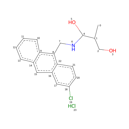 CC(CO)C(O)NCc1c2ccccc2cc2cc(Cl)ccc12.Cl